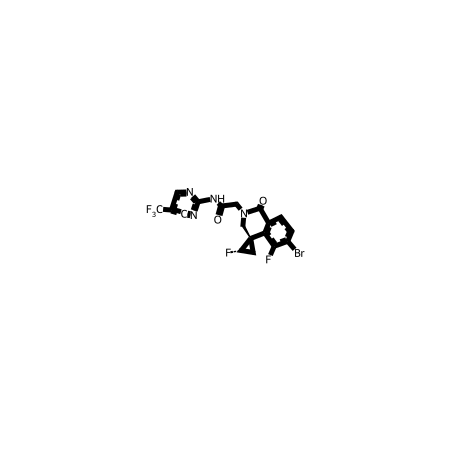 O=C(CN1C[C@]2(C[C@@H]2F)c2c(ccc(Br)c2F)C1=O)Nc1ncc(C(F)(F)F)cn1